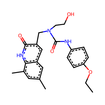 CCOc1ccc(NC(=O)N(CCO)Cc2cc3cc(C)cc(C)c3[nH]c2=O)cc1